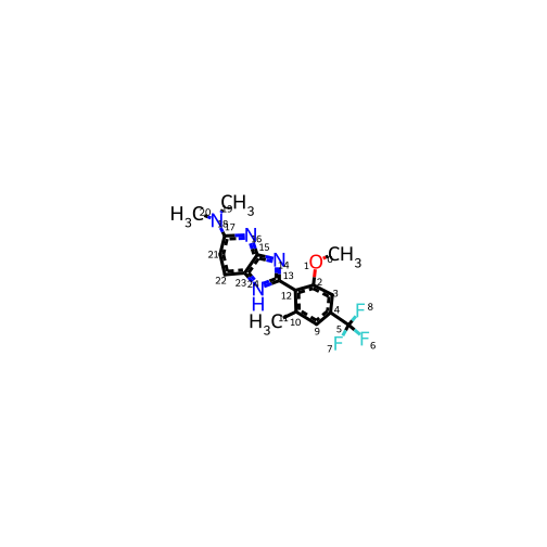 COc1cc(C(F)(F)F)cc(C)c1-c1nc2nc(N(C)C)ccc2[nH]1